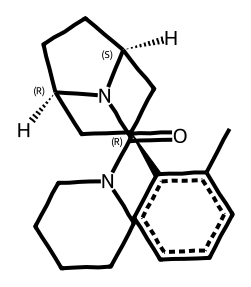 Cc1ccccc1[C@H]1C[C@H]2CC[C@@H](C1)N2C(=O)N1CCCCC1